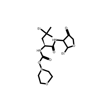 CCC1OCC(=O)C1NC(=O)[C@H](CC(C)(C)CC)NC(=O)ON1CCOCC1